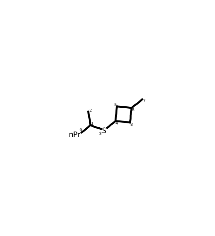 CCCC(C)SC1CC(C)C1